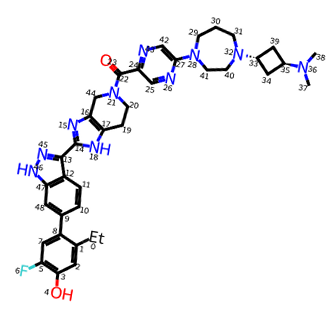 CCc1cc(O)c(F)cc1-c1ccc2c(-c3nc4c([nH]3)CCN(C(=O)c3cnc(N5CCCN([C@H]6C[C@H](N(C)C)C6)CC5)cn3)C4)n[nH]c2c1